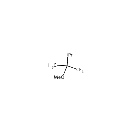 COC(C)(C(C)C)C(F)(F)F